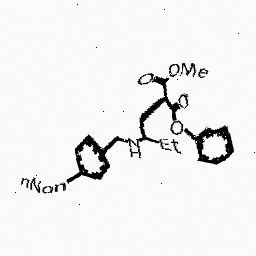 CCCCCCCCCc1ccc(CNC(CC)CC(C(=O)OC)C(=O)Oc2ccccc2)cc1